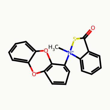 C[N+]1(c2cccc3c2Oc2ccccc2O3)SC(=O)c2ccccc21